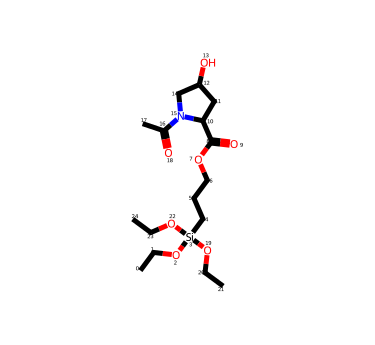 CCO[Si](CCCOC(=O)C1CC(O)CN1C(C)=O)(OCC)OCC